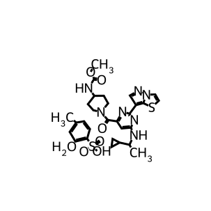 COC(=O)NC1CCN(C(=O)c2cc(NC(C)C3CC3)nc(-c3cnn4ccsc34)n2)CC1.Cc1ccc(S(=O)(=O)O)cc1.O